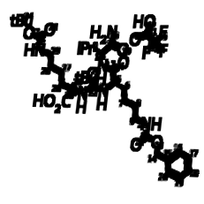 CC(C)[C@H](NC(=O)[C@@H](CCCCNC(=O)OCc1ccccc1)NC(=O)N[C@](CCCCNC(=O)OC(C)(C)C)(C(=O)O)C(C)(C)C)C(N)=O.O=C(O)C(F)(F)F